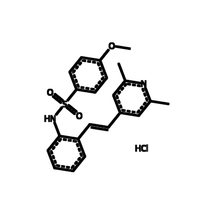 COc1ccc(S(=O)(=O)Nc2ccccc2C=Cc2cc(C)nc(C)c2)cc1.Cl